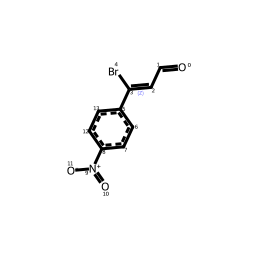 O=C/C=C(\Br)c1ccc([N+](=O)[O-])cc1